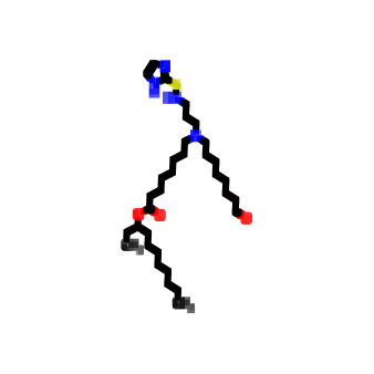 CCCCCCCCC(CC)OC(=O)CCCCCCCN(CCCCCCCC=O)CCCNSc1ncc[nH]1